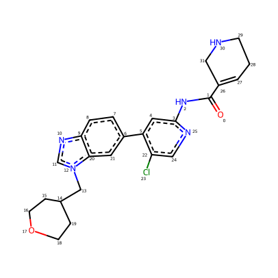 O=C(Nc1cc(-c2ccc3ncn(CC4CCOCC4)c3c2)c(Cl)cn1)C1=CCCNC1